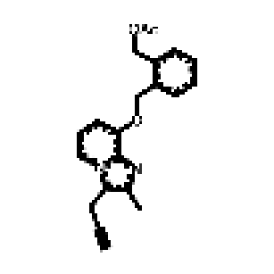 C#CCc1c(C)nc2c(OCc3ccccc3COC(C)=O)cccn12